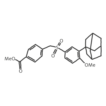 COC(=O)c1ccc(CS(=O)(=O)c2ccc(OC)c(C34CC5CC(CC(C5)C3)C4)c2)cc1